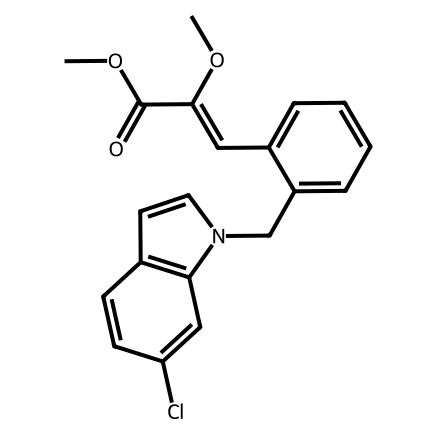 COC(=O)C(=Cc1ccccc1Cn1ccc2ccc(Cl)cc21)OC